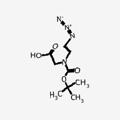 CC(C)(C)OC(=O)N(CCN=[N+]=[N-])CC(=O)O